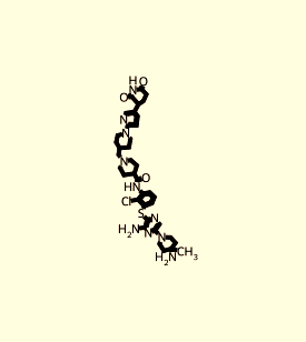 CC1(N)CCN(c2cnc(Sc3cccc(NC(=O)C4CCN(CC5CCN(c6ccc(C7CCC(=O)NC7=O)cn6)CC5)CC4)c3Cl)c(N)n2)CC1